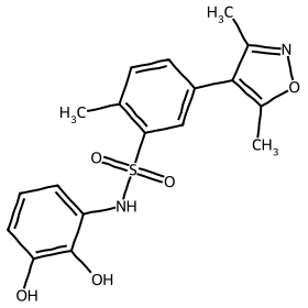 Cc1ccc(-c2c(C)noc2C)cc1S(=O)(=O)Nc1cccc(O)c1O